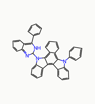 c1ccc(C2=c3ccccc3=NC(n3c4ccccc4c4c5c6ccccc6n(-c6ccccc6)c5c5ccccc5c43)N2)cc1